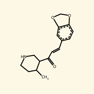 CC1CCNCC1C(=O)C=Cc1ccc2c(c1)OCO2